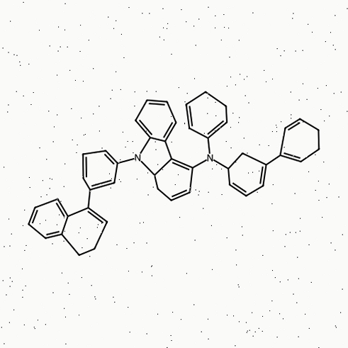 C1=CC(N(C2=CCCC=C2)C2=C3c4ccccc4N(c4cccc(C5=CCCc6ccccc65)c4)C3CC=C2)CC(C2=CCCC=C2)=C1